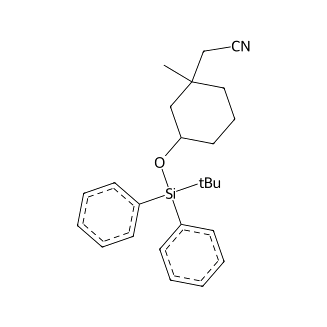 CC1(CC#N)CCCC(O[Si](c2ccccc2)(c2ccccc2)C(C)(C)C)C1